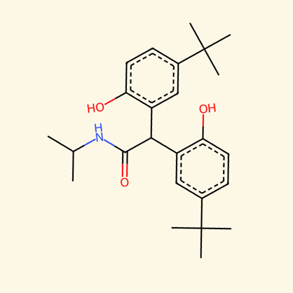 CC(C)NC(=O)C(c1cc(C(C)(C)C)ccc1O)c1cc(C(C)(C)C)ccc1O